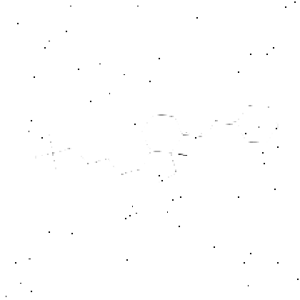 C[C@H](CCCC(C)(C)O)[C@H]1CC[C@H]2/C(=C/C=C3CCCCC3)CCC[C@]12C